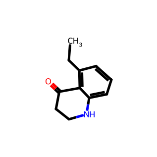 CCc1cccc2c1C(=O)CCN2